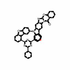 O=c1c2ccccc2oc2nc3cc4c(cc3n12)c1ccccc1n4-c1ccc2oc3cccc(-c4nc(-c5ccccc5)nc(-c5ccccc5)n4)c3c2c1